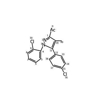 CC(=O)c1nn(-c2ccccc2Cl)c(-c2ccc(Cl)cc2)c1C